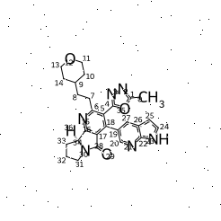 Cc1nnc(-c2c(CCC3CCOCC3)nc3c(c2-c2cnc4[nH]ccc4c2)C(=O)N2CCC[C@@H]32)o1